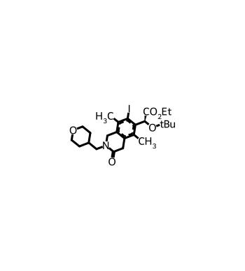 CCOC(=O)[C@@H](OC(C)(C)C)c1c(C)c2c(c(C)c1I)CN(CC1CCOCC1)C(=O)C2